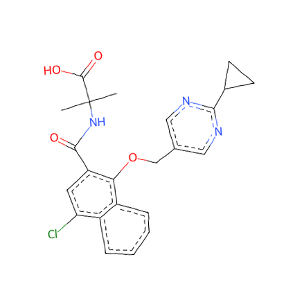 CC(C)(NC(=O)c1cc(Cl)c2ccccc2c1OCc1cnc(C2CC2)nc1)C(=O)O